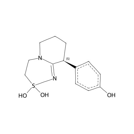 Oc1ccc([C@@H]2CCCN3CCS(O)(O)N=C23)cc1